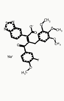 COc1ccc(C(=O)C(Cc2cc(OC)c(OC)c(OC)c2)=C(C(=O)[O-])c2ccc3nsnc3c2)cc1F.[Na+]